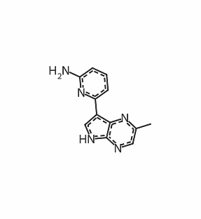 Cc1cnc2[nH]cc(-c3cccc(N)n3)c2n1